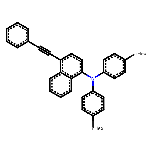 CCCCCCc1ccc(N(c2ccc(CCCCCC)cc2)c2ccc(C#Cc3ccccc3)c3ccccc23)cc1